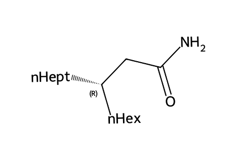 CCCCCCC[C@@H](CCCCCC)CC(N)=O